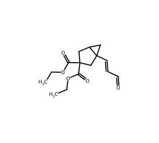 CCOC(=O)C1(C(=O)OCC)CC2CC2(C=C[C]=O)C1